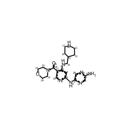 Nc1cnc(Nc2cc(NCC3CCNCC3)c(C(=O)N3CCOCC3)cn2)cn1